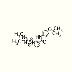 Cc1nc(S(=O)(=O)N2CC3CCC2C(C(=O)Nc2ccc(OC(C)C)cc2)C3)cn1C